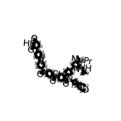 CC(C)n1cnc2cc(-c3ccc4c(c3)N([C@H]3C[C@@H](N5C6CCC5COC6)C3)C(=O)C43CCN(C(=O)C4(C)CCN(C(=O)C5CCN(C6=NCC(C7CCC(=O)NC7=O)C=C6)CC5)CC4)CC3)nc(NC3CC3)c21